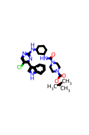 CC(C)(C)OC(=O)N1CCN(C(=O)N[C@H]2CCCC(Nc3ncc(Cl)c(-c4c[nH]c5ccccc45)n3)C2)CC1